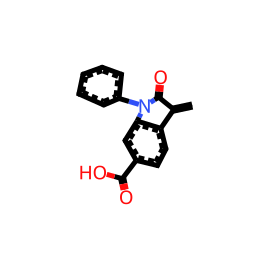 C=C1C(=O)N(c2ccccc2)c2cc(C(=O)O)ccc21